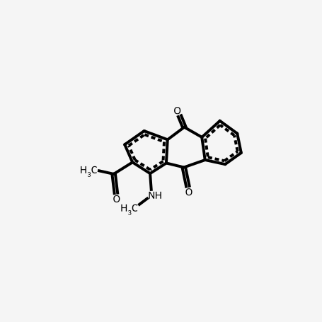 CNc1c(C(C)=O)ccc2c1C(=O)c1ccccc1C2=O